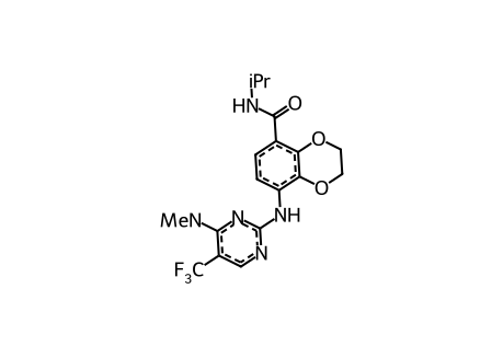 CNc1nc(Nc2ccc(C(=O)NC(C)C)c3c2OCCO3)ncc1C(F)(F)F